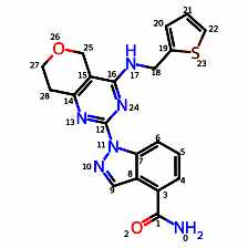 NC(=O)c1cccc2c1cnn2-c1nc2c(c(NCc3cccs3)n1)COCC2